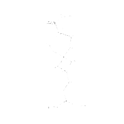 CCCCCCC(CCCCCC)CCN1CC2(CCN(C(=O)CCCCC)CC2)C1